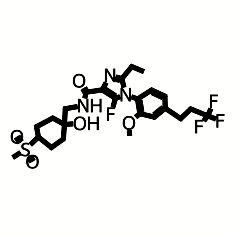 CCc1nc(C(=O)NCC2(O)CCC(S(C)(=O)=O)CC2)c(F)n1-c1ccc(CCC(F)(F)F)cc1OC